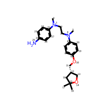 CN(CCN(C)c1ccc(OC[C@@H]2COC(C)(C)C2)cc1)c1ccc(N)cc1